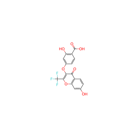 O=C(O)c1ccc(Oc2c(C(F)(F)F)oc3cc(O)ccc3c2=O)cc1O